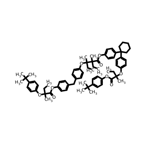 CCC(C)(Oc1ccc(C(C)(C)C)cc1)C(=O)Oc1ccc(Cc2ccc(OC(C)(CC)C(C)(CC)C(=O)Oc3ccc(C4(c5ccc(OC(C)(CC)C(=O)Oc6ccc(C(C)(C)C)cc6)cc5)CCCCC4)cc3)cc2)cc1